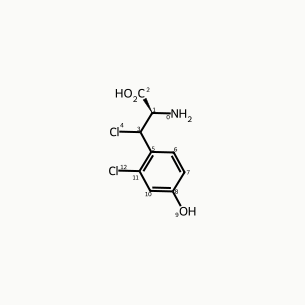 N[C@H](C(=O)O)C(Cl)c1ccc(O)cc1Cl